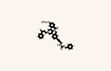 CCCCCc1ccc(C(=O)N(Cc2cccc(C#CCNC(=O)OCc3ccccc3)c2)C2CCN(CCC(C)c3ccccc3)CC2)cc1